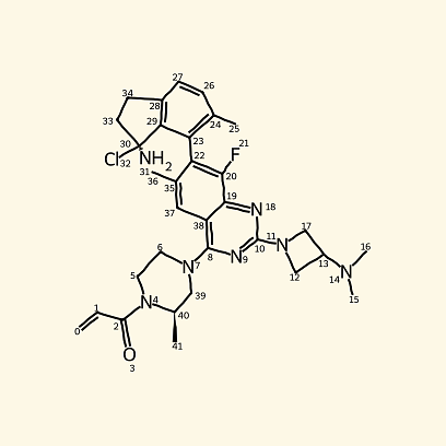 C=CC(=O)N1CCN(c2nc(N3CC(N(C)C)C3)nc3c(F)c(-c4c(C)ccc5c4[C@@](N)(Cl)CC5)c(C)cc23)C[C@H]1C